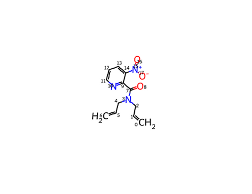 C=CCN(CC=C)C(=O)c1ncccc1[N+](=O)[O-]